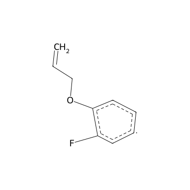 C=CCOc1cc[c]cc1F